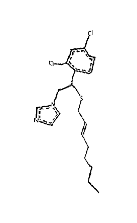 CCCCCC=CCSC(Cn1ccnc1)c1ccc(Cl)cc1Cl